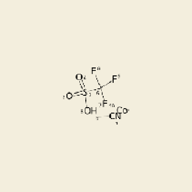 CC#N.O=S(=O)(O)C(F)(F)F.[Co]